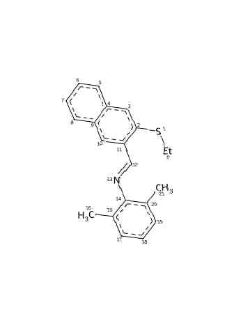 CCSc1cc2ccccc2cc1/C=N/c1c(C)cccc1C